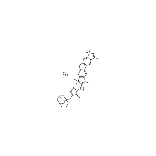 [CH2]=[Zr+2]([C]1=C(C)C(CC23CC4CC(CC(C4)C2)C3)=CC1C)[C]1=C(C)c2cc3c(cc2C1(C)C)Cc1cc2c(cc1-3)C(C)=CC2(C)C.[Cl-].[Cl-]